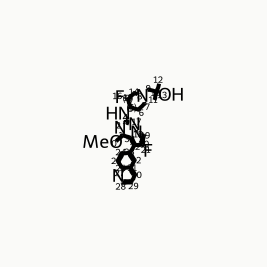 COc1nc(N[C@H]2CCN(CC(C)(C)O)C[C@H]2F)nn2cc(F)c(-c3ccc4ncccc4c3)c12